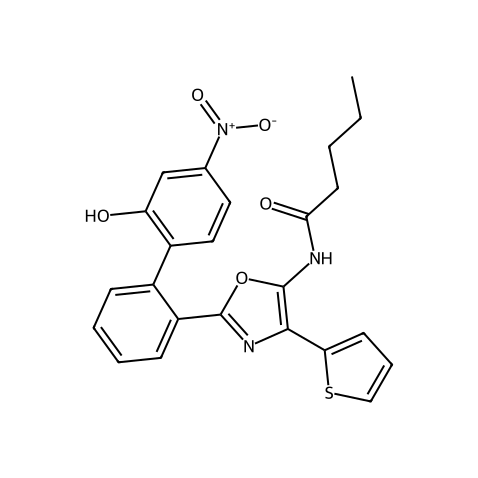 CCCCC(=O)Nc1oc(-c2ccccc2-c2ccc([N+](=O)[O-])cc2O)nc1-c1cccs1